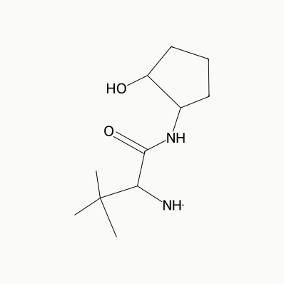 CC(C)(C)C([NH])C(=O)NC1CCCC1O